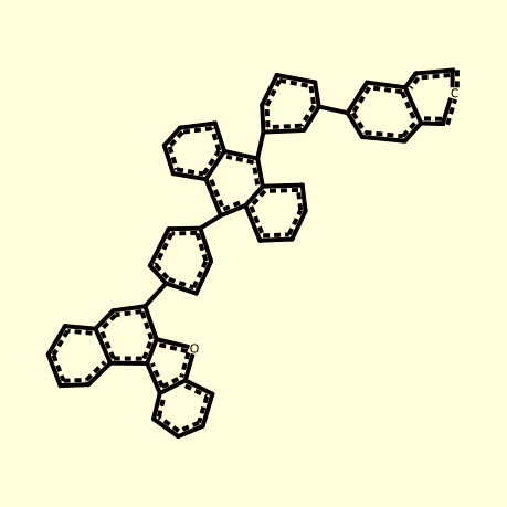 c1cc(-c2ccc3ccccc3c2)cc(-c2c3ccccc3c(-c3ccc(-c4cc5ccccc5c5c4oc4ccccc45)cc3)c3ccccc23)c1